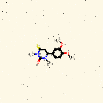 COc1ccc(C2CC(=S)N(C)C(=O)N2C)cc1OC